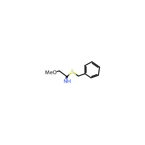 COCC(=N)SCc1ccccc1